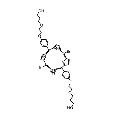 OCCCOCCOc1ccc(-c2c3nc(c(Br)c4ccc([nH]4)c(-c4ccc(OCCOCCCO)cc4)c4nc(c(Br)c5ccc2[nH]5)C=C4)C=C3)cc1